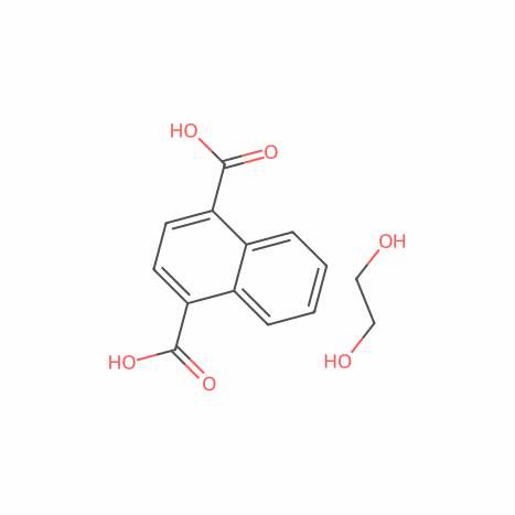 O=C(O)c1ccc(C(=O)O)c2ccccc12.OCCO